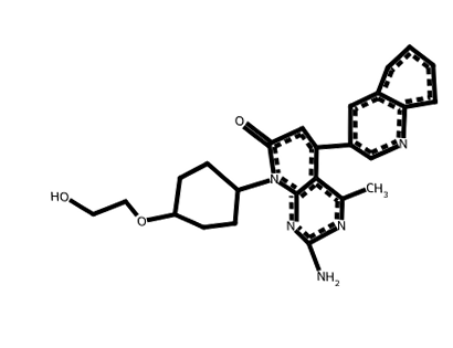 Cc1nc(N)nc2c1c(-c1cnc3ccccc3c1)cc(=O)n2C1CCC(OCCO)CC1